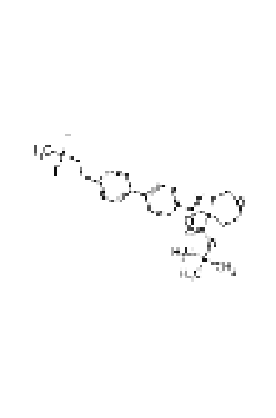 CC(F)(F)CCc1ccc(-c2ccc(S(=O)(=O)C3(C(=O)OC(C)(C)C)CCOCC3)cc2)cc1